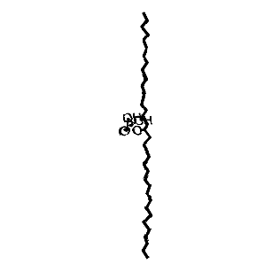 CCCCCCCCCCCCCCCCCC(CCCCCCCCCCCCCCCC)OP(=O)(O)O